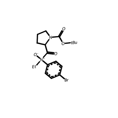 CC[N+]([O-])(C(=O)C1CCCN1C(=O)OC(C)(C)C)c1ccc(Br)cc1